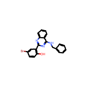 Oc1ccc(Br)cc1-c1nc(NCc2ccccc2)c2ccccc2n1